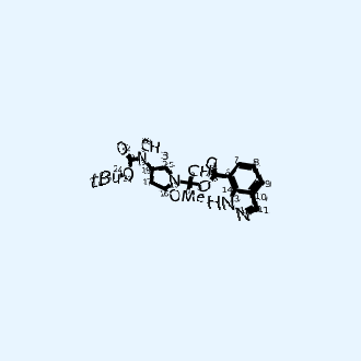 COC(C)(OC(=O)c1cccc2cn[nH]c12)N1CCC(N(C)C(=O)OC(C)(C)C)C1